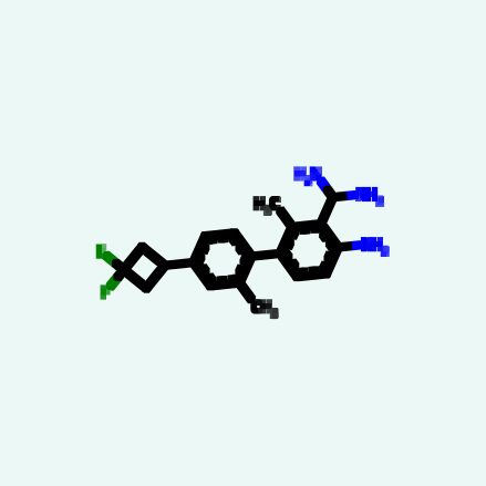 Cc1cc(C2CC(F)(F)C2)ccc1-c1ccc(N)c(C(N)N)c1C